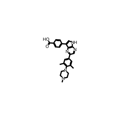 Cc1cc(-c2cnc3[nH]cc(-c4ccc(C(=O)O)cc4)c3n2)cc(C)c1N1CCN(C)CC1